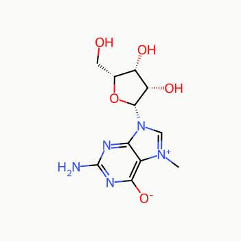 C[n+]1cn([C@@H]2O[C@H](CO)[C@H](O)[C@@H]2O)c2nc(N)nc([O-])c21